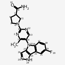 Cc1nc(N2CCC(C(N)=O)C2)ncc1-n1c2ccc(F)cc2c2[nH]ncc21